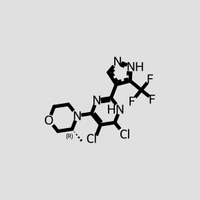 C[C@@H]1COCCN1C1=C(Cl)C(Cl)NC(c2cn[nH]c2C(F)(F)F)=N1